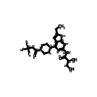 CCc1cc2c(N3CCN(C(=O)CC(F)(F)F)CC3)nc(NC(=O)[C@@H](O)CO)nc2s1